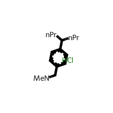 CCCC(CCC)c1ccc(CNC)cc1.Cl